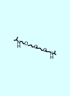 CC(C)NCCOCCCOCCCOCCNC(C)C